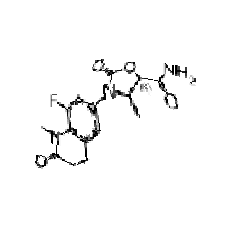 CC1[C@H](C(N)=O)OC(=O)N1c1cc(F)c2c(c1)CCC(=O)N2C